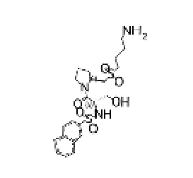 NCCCCS(=O)(=O)C[C@@H]1CCCN1C(=O)[C@H](CO)NS(=O)(=O)c1ccc2ccccc2c1